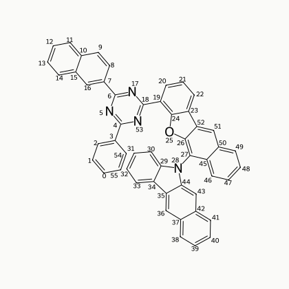 c1ccc(-c2nc(-c3ccc4ccccc4c3)nc(-c3cccc4c3oc3c(-n5c6ccccc6c6cc7ccccc7cc65)c5ccccc5cc34)n2)cc1